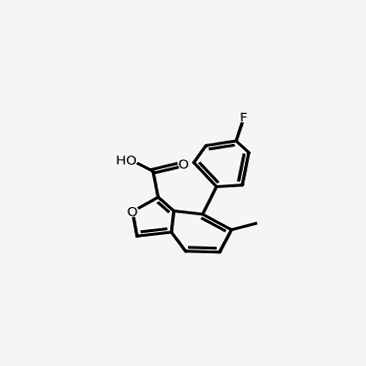 Cc1ccc2coc(C(=O)O)c2c1-c1ccc(F)cc1